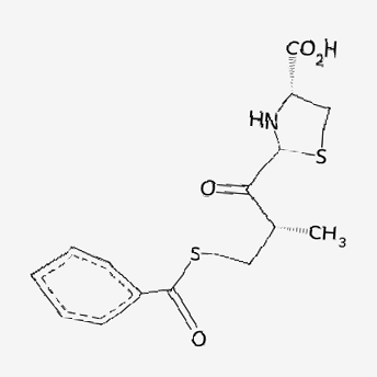 C[C@H](CSC(=O)c1ccccc1)C(=O)C1N[C@H](C(=O)O)CS1